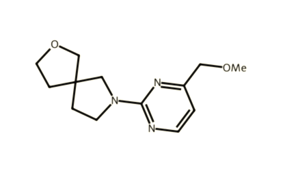 COCc1ccnc(N2CCC3(CCOC3)C2)n1